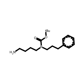 CC(C)(C)OC(=O)N(CCCCN)CCCc1ccccc1